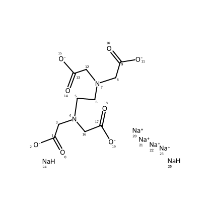 O=C([O-])CN(CCN(CC(=O)[O-])CC(=O)[O-])CC(=O)[O-].[Na+].[Na+].[Na+].[Na+].[NaH].[NaH]